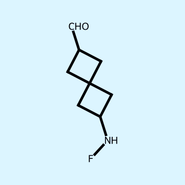 O=CC1CC2(C1)CC(NF)C2